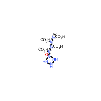 CC(=O)CN(CCN(CCN(CCN(CC(=O)O)CC(=O)N1CCNCCNCCNCC1)CC(=O)O)CC(=O)O)CC(=O)O